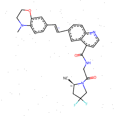 CN1CCOc2cc(/C=C/c3ccc4nccc(C(=O)NCC(=O)N5CC(F)(F)C[C@H]5C#N)c4c3)ccc21